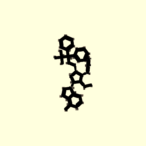 COC1[C@@H](N=[N+]=[N-])[C@@H](CO[Si](c2ccccc2)(c2ccccc2)C(C)(C)C)O[C@H]1n1cnc2c(C)ncnc21